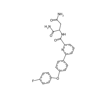 NC(=O)CC(NC(=O)c1cccc(-c2ccc(Oc3ccc(F)cc3)cc2)n1)C(N)=O